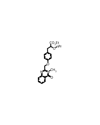 CCCOC(Cc1ccc(OCc2nc3ccccc3c(=O)n2C)cc1)C(=O)OCC